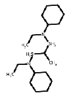 CCN([SiH2]C(C)[SiH2]N(CC)C1CCCCC1)C1CCCCC1